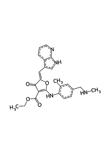 CCOC(=O)C1=C(Nc2ccc(CNC)cc2C)O/C(=C\c2c[nH]c3ncccc23)C1=O